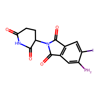 O=C1CCC(N2C(=O)c3cc(P)c(I)cc3C2=O)C(=O)N1